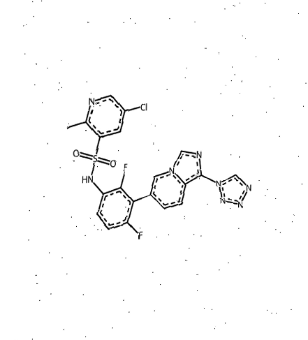 Cc1ncc(Cl)cc1S(=O)(=O)Nc1ccc(F)c(-c2ccc3c(-n4cnnn4)ncn3c2)c1F